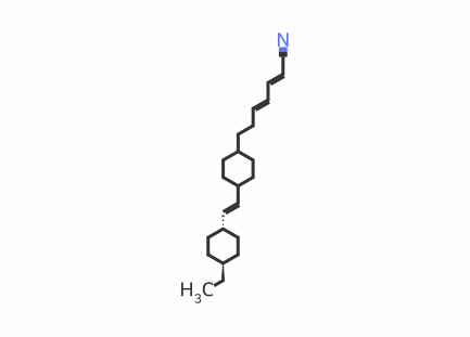 CC[C@H]1CC[C@H](C=CC2CCC(CCC=CC=CC#N)CC2)CC1